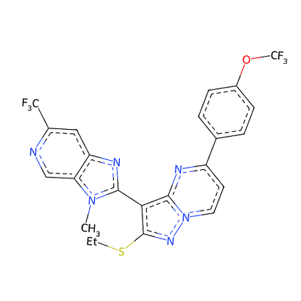 CCSc1nn2ccc(-c3ccc(OC(F)(F)F)cc3)nc2c1-c1nc2cc(C(F)(F)F)ncc2n1C